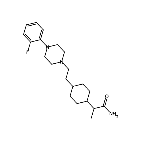 CC(C(N)=O)C1CCC(CCN2CCN(c3ccccc3F)CC2)CC1